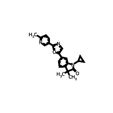 Cc1ccc(-c2ncc(-c3ccc4c(c3)N(C3CC3)C(=O)C4(C)C)o2)cn1